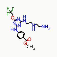 COC(=O)c1ccc(Nc2nc(NCCNCCN)nc(OCC(F)(F)F)n2)cc1